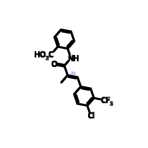 C/C(=C\c1ccc(Cl)c(C(F)(F)F)c1)C(=O)Nc1ccccc1C(=O)O